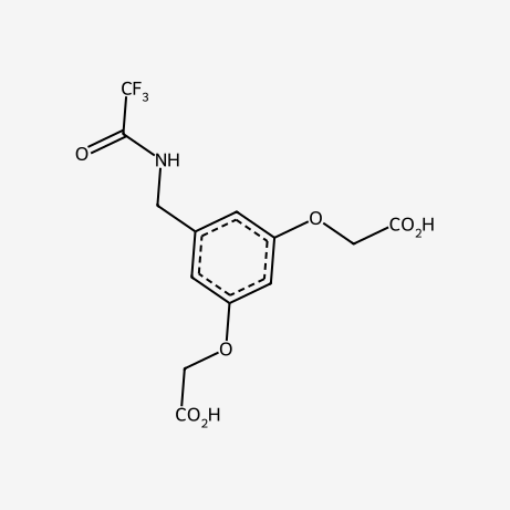 O=C(O)COc1cc(CNC(=O)C(F)(F)F)cc(OCC(=O)O)c1